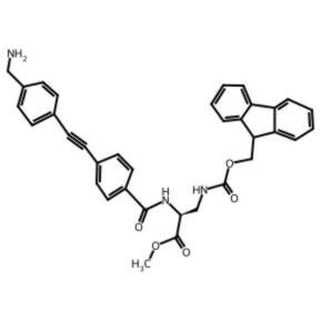 COC(=O)[C@H](CNC(=O)OCC1c2ccccc2-c2ccccc21)NC(=O)c1ccc(C#Cc2ccc(CN)cc2)cc1